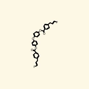 O=C(Oc1ccc(Oc2ccc(OC(=O)c3ccc(CC=CF)cc3)cc2)cc1)c1ccc(CC=CF)cc1